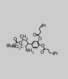 CC(C)CCC(=O)Oc1ccc(C(CC(C)OC(=O)OCC(C)C)[C@H](N)C(=O)O)cc1OC(=O)CCC(C)C